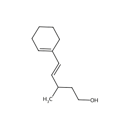 CC(C=CC1=CCCCC1)CCO